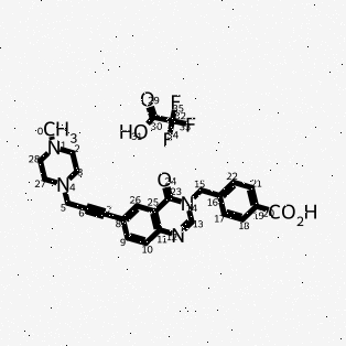 CN1CCN(CC#Cc2ccc3ncn(Cc4ccc(C(=O)O)cc4)c(=O)c3c2)CC1.O=C(O)C(F)(F)F